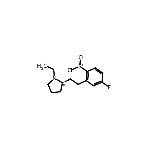 CCN1CCC[C@@H]1CCc1cc(F)ccc1[S+]([O-])Cl